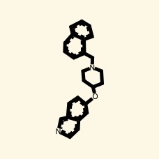 c1ccc2c(CN3CCC(Oc4ccc5cnccc5c4)CC3)cccc2c1